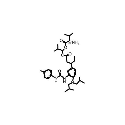 CCC(CC(=O)OC(OC(=O)[C@@H](N)C(C)C)C(C)C)c1ccc(N(CC(C)C)CC(C)C)c(NC(=O)Nc2ccc(C)cc2)c1